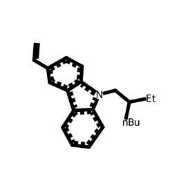 C=Cc1ccc2c(c1)c1ccccc1n2CC(CC)CCCC